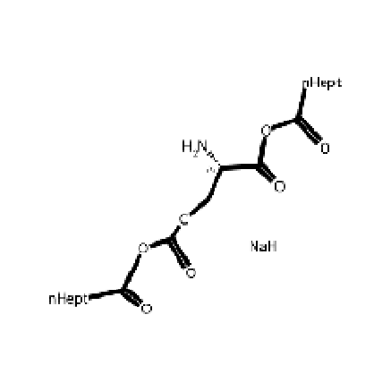 CCCCCCCC(=O)OC(=O)CC[C@H](N)C(=O)OC(=O)CCCCCCC.[NaH]